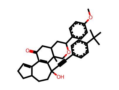 COc1ccc(C2CC3CC(=O)C4=C(C(O)(C#Cc5ccc(C(C)(C)C)cc5)CCC5CCC=C45)C3(C)CO2)cc1